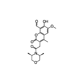 COc1cc2c(C)c(CC(=O)N3[C@H](C)COC[C@@H]3C)c(=O)oc2c(C=O)c1O